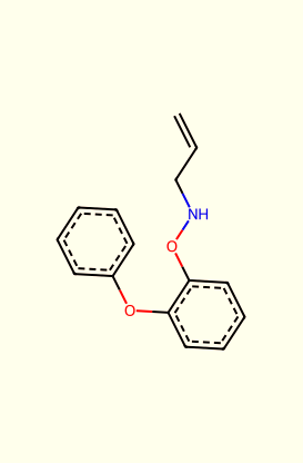 C=CCNOc1ccccc1Oc1ccccc1